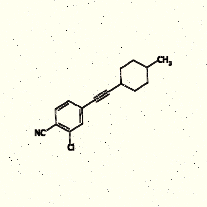 CC1CCC(C#Cc2ccc(C#N)c(Cl)c2)CC1